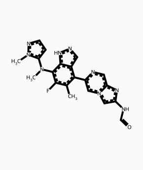 Cc1c(F)c(N(C)c2ccnn2C)c2[nH]ncc2c1-c1cn2cc(NC=O)nc2cn1